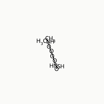 CC(C)NCCOCCOCCOCCOCCNC(=O)S